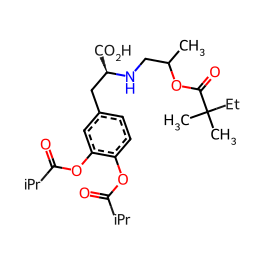 CCC(C)(C)C(=O)OC(C)CN[C@@H](Cc1ccc(OC(=O)C(C)C)c(OC(=O)C(C)C)c1)C(=O)O